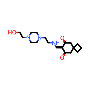 O=C1CC2(CCC2)CC(=O)C1=CNCCN1CCN(CCO)CC1